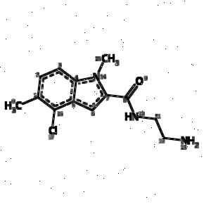 Cc1ccc2c(cc(C(=O)NCCN)n2C)c1Cl